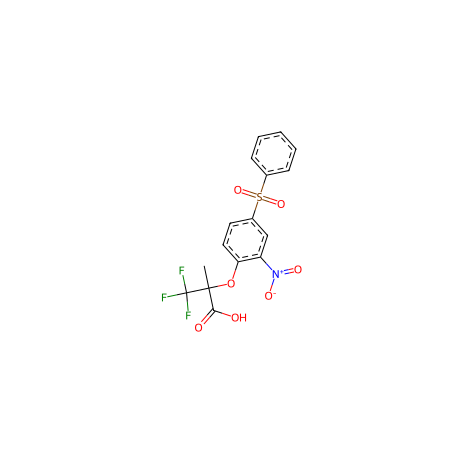 CC(Oc1ccc(S(=O)(=O)c2ccccc2)cc1[N+](=O)[O-])(C(=O)O)C(F)(F)F